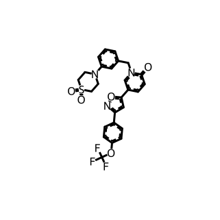 O=c1ccc(-c2cc(-c3ccc(OC(F)(F)F)cc3)no2)cn1Cc1cccc(N2CCS(=O)(=O)CC2)c1